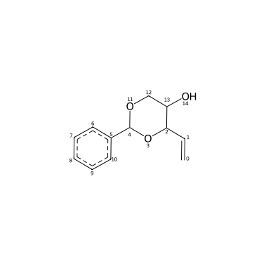 C=CC1OC(c2ccccc2)OCC1O